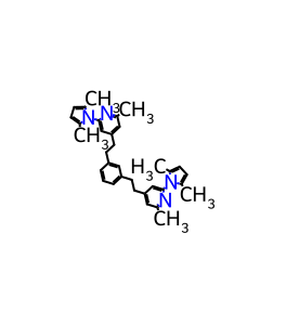 Cc1cc(CCc2cccc(CCc3cc(C)nc(-n4c(C)ccc4C)c3)c2)cc(-n2c(C)ccc2C)n1